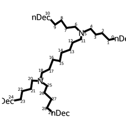 CCCCCCCCCCCCCCN(CCCCCCCCCCCCCC)CCCCCCCCN(CCCCCCCCCCCCCC)CCCCCCCCCCCCCC